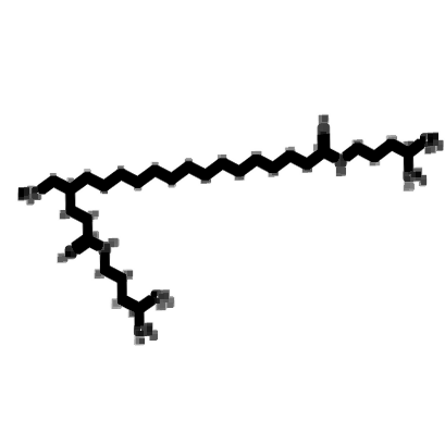 CCC(CCCCCCCCCCCCCCC(=O)OCCCC(C)C)CCC(=O)OCCCC(C)C